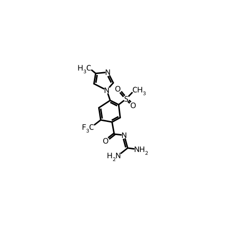 Cc1cn(-c2cc(C(F)(F)F)c(C(=O)N=C(N)N)cc2S(C)(=O)=O)cn1